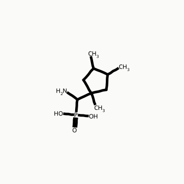 CC1CC(C)(C(N)P(=O)(O)O)CC1C